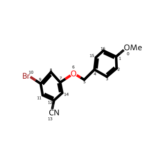 COc1ccc(COc2cc(Br)cc(C#N)c2)cc1